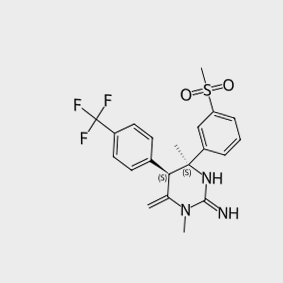 C=C1[C@@H](c2ccc(C(F)(F)F)cc2)[C@@](C)(c2cccc(S(C)(=O)=O)c2)NC(=N)N1C